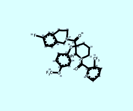 CCCC1N(C(=O)c2ncccc2C(F)(F)F)CCCC1(Oc1ccc(OC(F)(F)F)cc1)C(=O)N1CCc2cc(F)ccc2C1